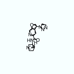 O=C(N[C@H]1CN2CCC1CC2)c1cc2c(-n3ccnn3)coc2cn1